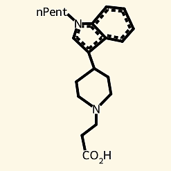 CCCCCn1cc(C2CCN(CCC(=O)O)CC2)c2ccccc21